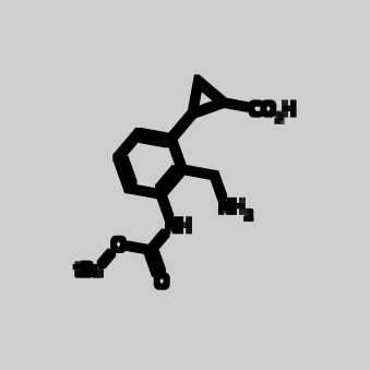 CC(C)(C)OC(=O)Nc1cccc(C2CC2C(=O)O)c1CN